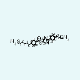 CCCCCCc1ccc(C(=O)Oc2cnc(-c3ccc(CCC)cc3)nc2)cc1